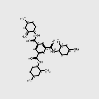 CC1CC(C(C)(C)C)CCC1NC(=O)c1cc(C(=O)NC2CCC(C(C)(C)C)CC2C)cc(C(=O)NC2CCC(C(C)(C)C)CC2C)c1